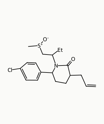 C=CCC1CCC(c2ccc(Cl)cc2)N(C(CC)C[S+](C)[O-])C1=O